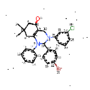 CC1(C)CC(=O)C2=C(C1)N(c1ccccc1)C(c1ccc(Br)cc1)N(c1cccc(Cl)c1)C2